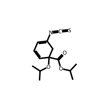 CC(C)OC(=O)C1(OC(C)C)C=CC=C(N=C=S)C1